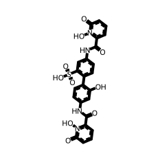 O=C(Nc1ccc(-c2ccc(NC(=O)c3cccc(=O)n3O)cc2S(=O)(=O)O)c(O)c1)c1cccc(=O)n1O